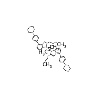 CCCCC1=Cc2c(-c3ccc(C4CCCCC4)cc3)cccc2C1[Si](C)(C)C1C(CCCC)=Cc2c(-c3ccc(C4CCCCC4)cc3)cccc21